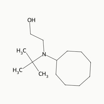 CC(C)(C)N(CCO)C1CCCCCCC1